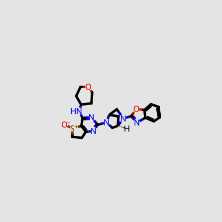 [O-][S+]1CCc2nc(N3C[C@H]4CC3CN4c3nc4ccccc4o3)nc(NC3CCOCC3)c21